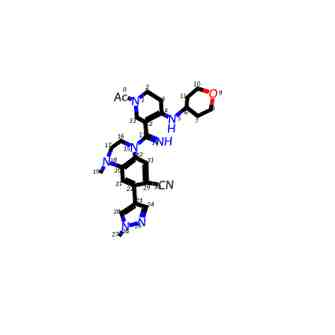 CC(=O)N1CCC(NC2CCOCC2)=C(C(=N)N2CCN(C)c3cc(-c4cnn(C)c4)c(C#N)cc32)C1